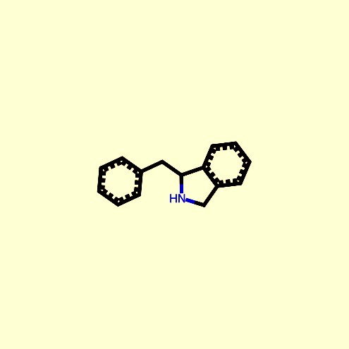 c1ccc(CC2NCc3ccccc32)cc1